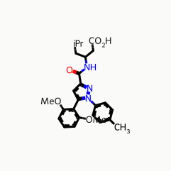 COc1cccc(OC)c1-c1cc(C(=O)NC(CC(=O)O)CC(C)C)nn1-c1ccc(C)cc1